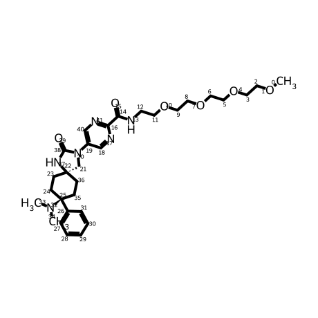 COCCOCCOCCOCCNC(=O)c1ncc(N2C[C@]3(CC[C@](c4ccccc4)(N(C)C)CC3)NC2=O)cn1